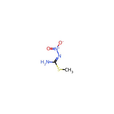 CSC(N)=N[N+](=O)[O-]